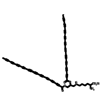 CC#CC#CC#CC#CC#CC#CC#CC#CC#CC#CC(=O)OCC(CNCCCCC(N)C(=O)OCC)OC(=O)C#CC#CC#CC#CC#CC#CC#CC#CC#CC#CC